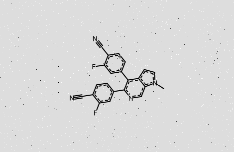 Cn1ccc2c(-c3ccc(C#N)c(F)c3)c(-c3ccc(C#N)c(F)c3)ncc21